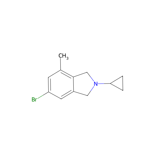 Cc1cc(Br)cc2c1CN(C1CC1)C2